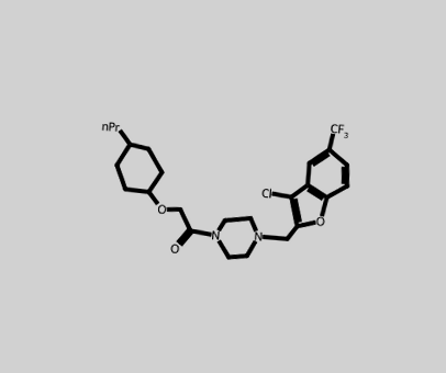 CCCC1CCC(OCC(=O)N2CCN(Cc3oc4ccc(C(F)(F)F)cc4c3Cl)CC2)CC1